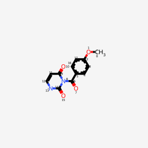 COc1ccc(C(=O)N2C(=O)C=C[N]C2=O)cc1